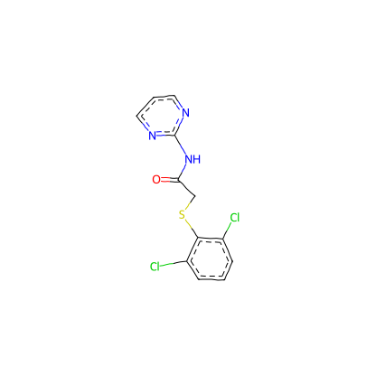 O=C(CSc1c(Cl)cccc1Cl)Nc1ncccn1